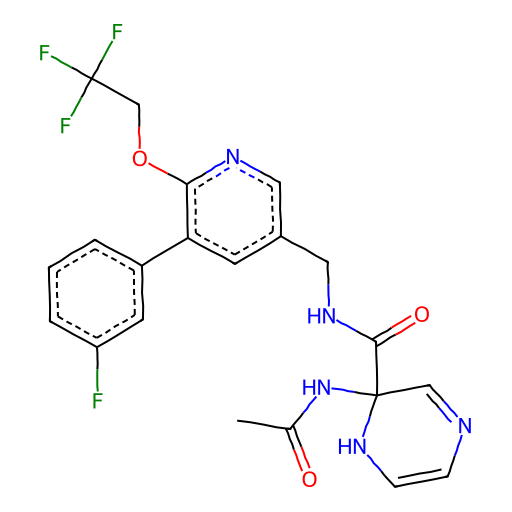 CC(=O)NC1(C(=O)NCc2cnc(OCC(F)(F)F)c(-c3cccc(F)c3)c2)C=NC=CN1